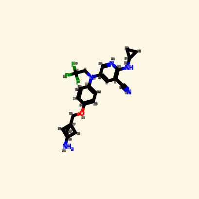 N#Cc1cc(N(CC(F)(F)F)c2ccc(OCC34CC(N)(C3)C4)cc2)cnc1NC1CC1